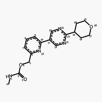 CNC(=O)OCc1cccc(-c2cnc(C3CCOCC3)nc2)n1